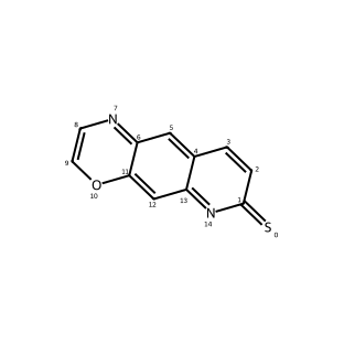 S=c1ccc2cc3nccoc3cc2n1